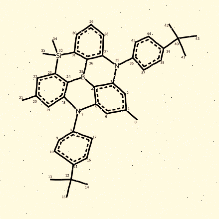 Cc1cc2c3c(c1)N(c1ccc(C(C)(C)C)cc1)c1cc(C)cc4c1B3c1c(cccc1[Si]4(C)C)N2c1ccc(C(C)(C)C)cc1